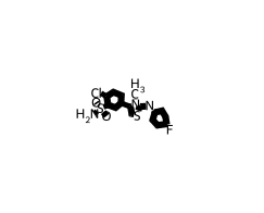 Cn1c(-c2ccc(Cl)c(S(N)(=O)=O)c2)csc1=Nc1ccc(F)cc1